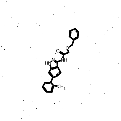 Cc1ccccc1-c1ccc2c(NC(=O)COCc3ccccc3)n[nH]c2c1